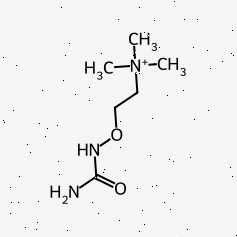 C[N+](C)(C)CCONC(N)=O